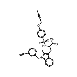 CC#CCOc1ccc(S(=O)(=O)NC(Cc2c(C)n(Cc3cccc(C#N)c3)c3ccccc23)C(=O)O)cc1